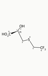 O=C(O)[C@@H](O)CSCC(F)(F)F